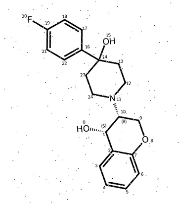 O[C@H]1c2ccccc2OC[C@H]1N1CCC(O)(c2ccc(F)cc2)CC1